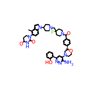 Cc1c(N2CCC(=O)NC2=O)ccc2c1ccn2C1CCN(CC2(F)CCN(C(=O)c3ccc([C@@H]4CN(c5cc(-c6ccccc6O)nnc5N)CCO4)cc3)CC2)CC1